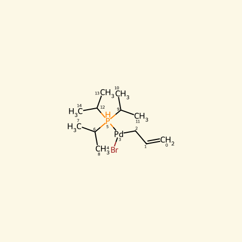 C=C[CH2][Pd]([Br])[PH](C(C)C)(C(C)C)C(C)C